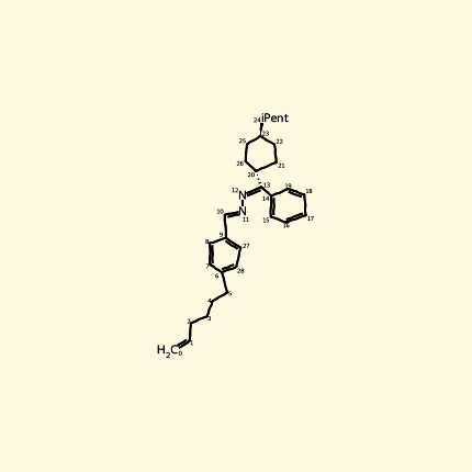 C=CCCCCc1ccc(C=NN=C(c2ccccc2)[C@H]2CC[C@H](C(C)CCC)CC2)cc1